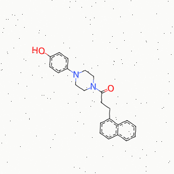 O=C(CCc1cccc2ccccc12)N1CCN(c2ccc(O)cc2)CC1